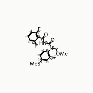 COCN(C(=O)NC(=O)c1c(F)cccc1F)c1ccc(SC)cc1F